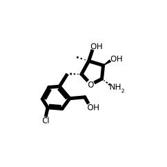 C[C@@]1(O)[C@@H](Cc2ccc(Cl)cc2CO)O[C@@H](N)[C@@H]1O